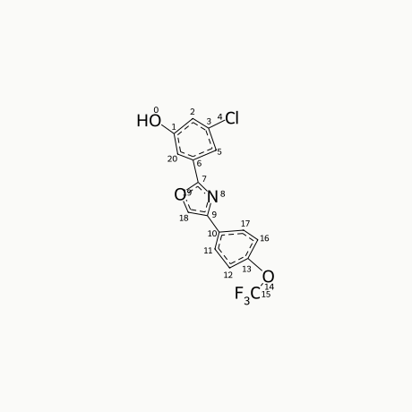 Oc1cc(Cl)cc(-c2nc(-c3ccc(OC(F)(F)F)cc3)co2)c1